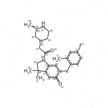 Cc1cc(F)ccc1Cn1cc2c(cc1=O)C(C)(C)CN2C(=O)CN1CCN[C@H](C)C1